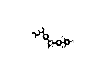 CCC(C)CC(C)C(CC)c1ccc(-c2nc(C)nc(-c3ccc(-c4c(Cl)cc(Cl)cc4Cl)cc3)n2)cc1